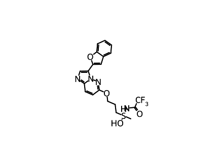 C[SH](O)(CCCOc1ccc2ncc(-c3cc4ccccc4o3)n2n1)=NC(=O)C(F)(F)F